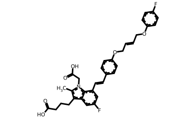 Cc1c(CCCC(=O)O)c2cc(F)cc(C=Cc3ccc(OCC=CCOc4ccc(F)cc4)cc3)c2n1CC(=O)O